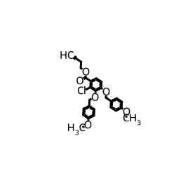 C#CCCOC(=O)c1ccc(OCc2ccc(OC)cc2)c(OCc2ccc(OC)cc2)c1Cl